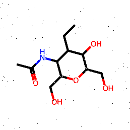 CCC1C(O)C(CO)OC(CO)C1NC(C)=O